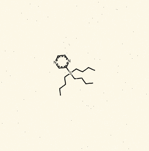 CCCCS(CCCC)(CCCC)c1cnccn1